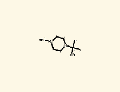 CCCC(C)(C)N1CCN(C(C)(C)C)CC1